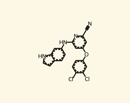 N#Cc1cc(Oc2ccc(Cl)c(Cl)c2)cc(Nc2ccc3cc[nH]c3c2)n1